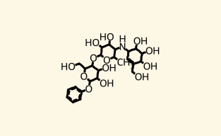 CC1OC(OC2C(CO)OC(Oc3ccccc3)C(O)C2O)C(O)C(O)C1NC1C=C(CO)C(O)C(O)C1O